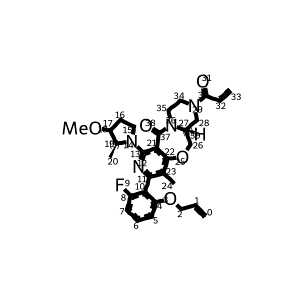 C=CCOc1cccc(F)c1-c1nc(N2CCC(OC)[C@@H]2C)c2c(c1C)OC[C@H]1CN(C(=O)C=C)CCN1C2=O